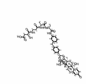 C[C@H](NC(=O)CCNC(=O)C(S)CC(=O)O)C(=O)N[C@@H](C)C(=O)Nc1cccc(Cc2ccc([C@@H]3O[C@@H]4C[C@H]5[C@@H]6CCC7=CC(=O)C=C[C@]7(C)[C@@]6(F)[C@@H](O)C[C@]5(C)[C@]4(C(=O)CO)O3)cc2)c1